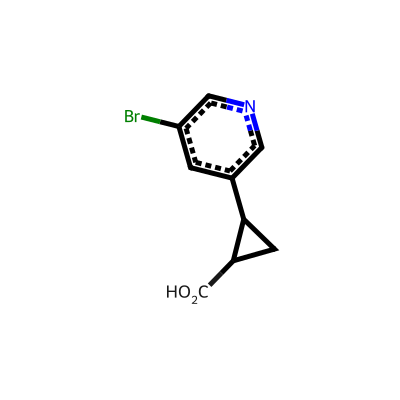 O=C(O)C1CC1c1cncc(Br)c1